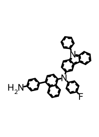 Nc1ccc(-c2ccc(N(c3ccc(F)cc3)c3ccc4c(c3)c3ccccc3n4-c3ccccc3)c3ccccc23)cc1